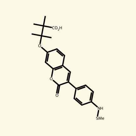 CSNc1ccc(-c2cc3ccc(OC(C)(C)C(C)(C)C(=O)O)cc3oc2=O)cc1